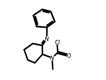 CN(C(=O)Cl)C1CCCCC1=Nc1ccccc1